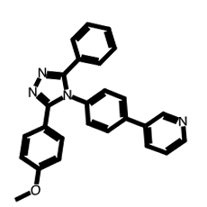 COc1ccc(-c2nnc(-c3ccccc3)n2-c2ccc(-c3cccnc3)cc2)cc1